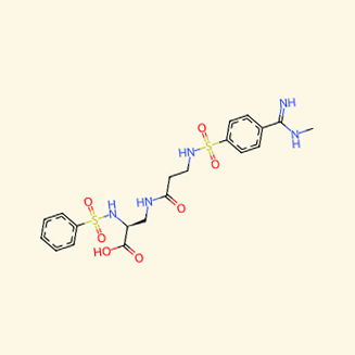 CNC(=N)c1ccc(S(=O)(=O)NCCC(=O)NC[C@H](NS(=O)(=O)c2ccccc2)C(=O)O)cc1